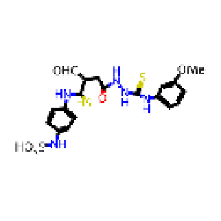 COc1cccc(NC(=S)NNC(=O)CC(C=O)C(S)Nc2ccc(NS(=O)(=O)O)cc2)c1